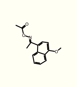 COc1ccc(/C(C)=N/OC(C)=O)c2ccccc12